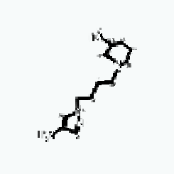 Nc1cnn(CCCCN2CCCC(O)C2)c1